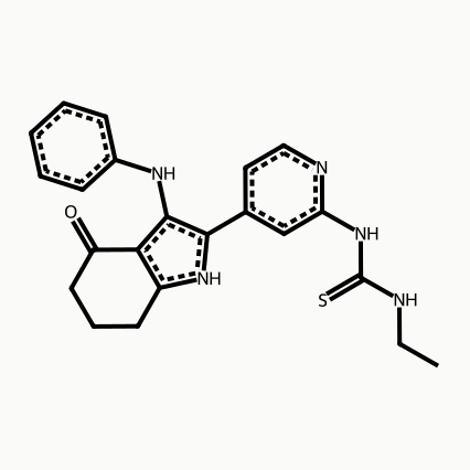 CCNC(=S)Nc1cc(-c2[nH]c3c(c2Nc2ccccc2)C(=O)CCC3)ccn1